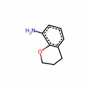 Nc1cccc2c1OCCC2